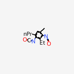 CCCc1cc(C)c(N=C=O)c(CC)c1N=C=O